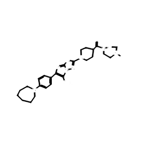 Cc1c(-c2ccc(N3CCCCCC3)cc2)nc2sc(N3CCC(C(=O)N4CCN(C)CC4)CC3)nn12